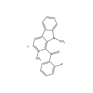 Cn1c2ccccc2c2cc[n+](C)c(C(=O)c3ccccc3F)c21.[I-]